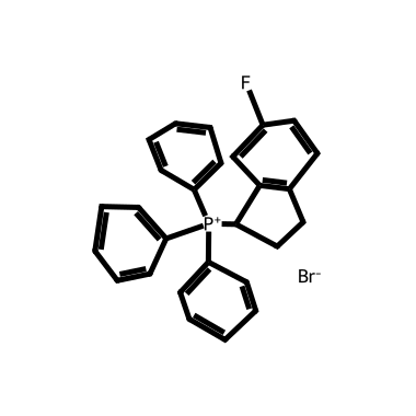 Fc1ccc2c(c1)C([P+](c1ccccc1)(c1ccccc1)c1ccccc1)CC2.[Br-]